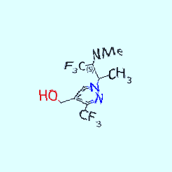 CN[C@@H](C(C)n1cc(CO)c(C(F)(F)F)n1)C(F)(F)F